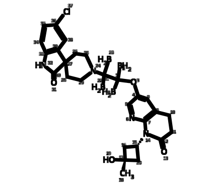 BC(B)(Oc1cnc2c(c1)CCC(=O)N2[C@H]1C[C@@](C)(O)C1)C(B)(B)N1CCC2(CC1)C(=O)Nc1ccc(Cl)cc12